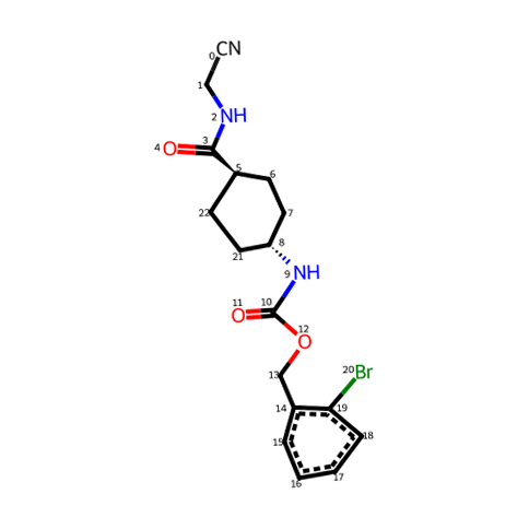 N#CCNC(=O)[C@H]1CC[C@H](NC(=O)OCc2ccccc2Br)CC1